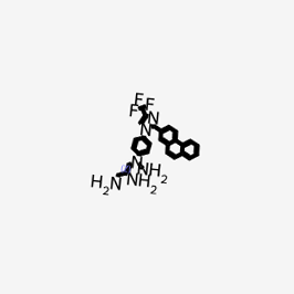 NC/C(N)=C/N(N)c1ccc(-n2cc(C(F)(F)F)nc2-c2ccc3c(ccc4ccccc43)c2)cc1